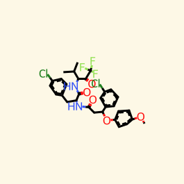 COc1ccc(OC(CC(=O)NC(Cc2ccc(Cl)cc2)C(=O)NC(C(=O)C(F)(F)F)C(C)C)c2cccc(Cl)c2)cc1